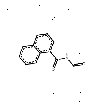 O=CNC(=O)c1cccc2ccccc12